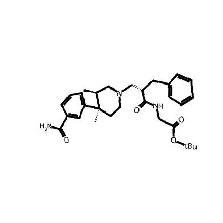 C[C@H]1CN(C[C@H](Cc2ccccc2)C(=O)NCC(=O)OC(C)(C)C)CC[C@@]1(C)c1cccc(C(N)=O)c1